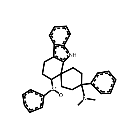 CN(C)C1(c2ccccc2)CCC2(CC1)c1[nH]c3ccccc3c1CCC2[S+]([O-])c1ccccc1